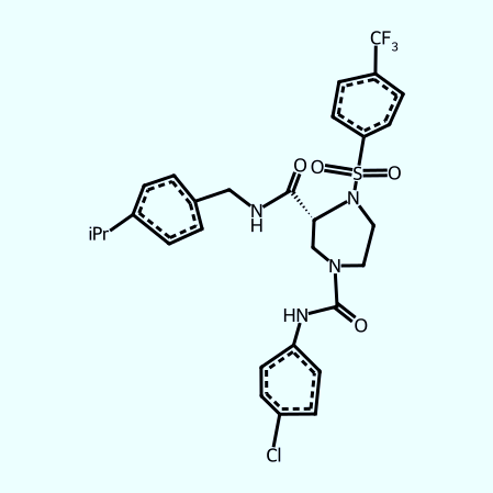 CC(C)c1ccc(CNC(=O)[C@H]2CN(C(=O)Nc3ccc(Cl)cc3)CCN2S(=O)(=O)c2ccc(C(F)(F)F)cc2)cc1